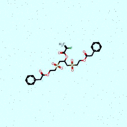 C=C(F)C(=O)OC(CS(=O)(=O)CCOC(=O)Cc1ccccc1)CS(=O)(=O)CCOC(=O)Cc1ccccc1